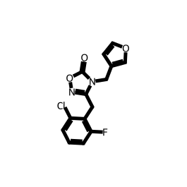 O=c1onc(Cc2c(F)cccc2Cl)n1Cc1ccoc1